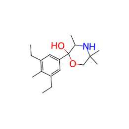 CCc1cc(C2(O)OCC(C)(C)NC2C)cc(CC)c1C